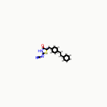 N#C/N=C1\NC(=O)/C(=C/c2ccc(CCc3ccccc3)cc2)S1